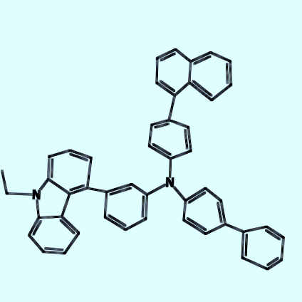 CCn1c2ccccc2c2c(-c3cccc(N(c4ccc(-c5ccccc5)cc4)c4ccc(-c5cccc6ccccc56)cc4)c3)cccc21